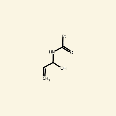 C=CC(O)NC(=O)CC